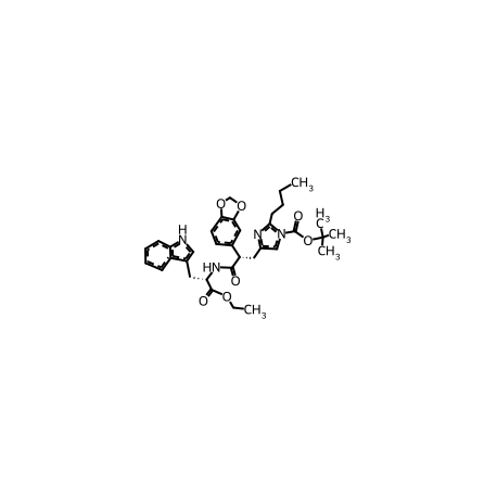 CCCCc1nc(C[C@H](C(=O)N[C@@H](Cc2c[nH]c3ccccc23)C(=O)OCC)c2ccc3c(c2)OCO3)cn1C(=O)OC(C)(C)C